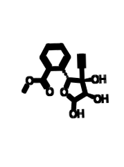 C#C[C@@]1(O)[C@@H](c2ccccc2C(=O)OC)OC(O)[C@@H]1O